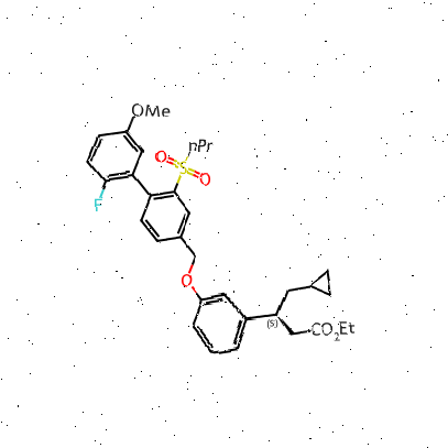 CCCS(=O)(=O)c1cc(COc2cccc([C@H](CC(=O)OCC)CC3CC3)c2)ccc1-c1cc(OC)ccc1F